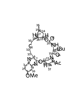 COc1ccc2nc3c(nc2c1)O[C@H]1CN(C(=O)[C@H](C(C)(C)C)NC(=O)O[C@@H]2C[C@H](C)C[C@H]2CCCCC3)[C@H](C(C)=O)[C@@H]1C